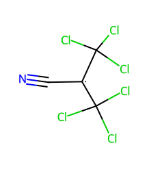 N#C[C](C(Cl)(Cl)Cl)C(Cl)(Cl)Cl